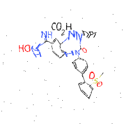 CCCN(C(=O)Nc1ccc(-c2ccccc2S(C)(=O)=O)cc1)N(C(=O)O)c1cccc(C(=N)NO)c1